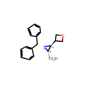 CCOC(=O)[C@H]1[C@H](C2COC2)[N@]1C(c1ccccc1)c1ccccc1